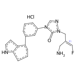 Cl.NC/C(=C\F)Cn1ncn(-c2cccc(-c3cccc4[nH]ccc34)c2)c1=O